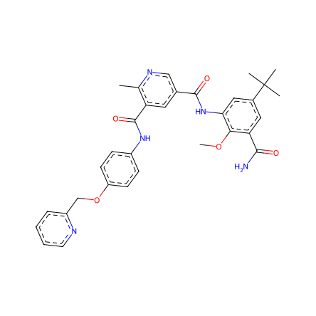 COc1c(NC(=O)c2cnc(C)c(C(=O)Nc3ccc(OCc4ccccn4)cc3)c2)cc(C(C)(C)C)cc1C(N)=O